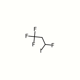 FC(I)CC(F)(F)F